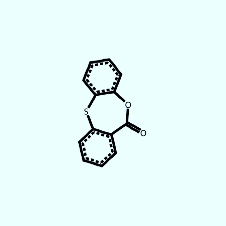 O=C1Oc2ccccc2Sc2ccccc21